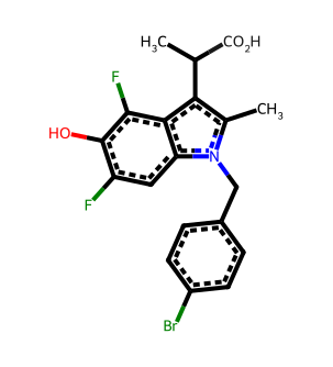 Cc1c(C(C)C(=O)O)c2c(F)c(O)c(F)cc2n1Cc1ccc(Br)cc1